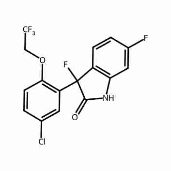 O=C1Nc2cc(F)ccc2C1(F)c1cc(Cl)ccc1OCC(F)(F)F